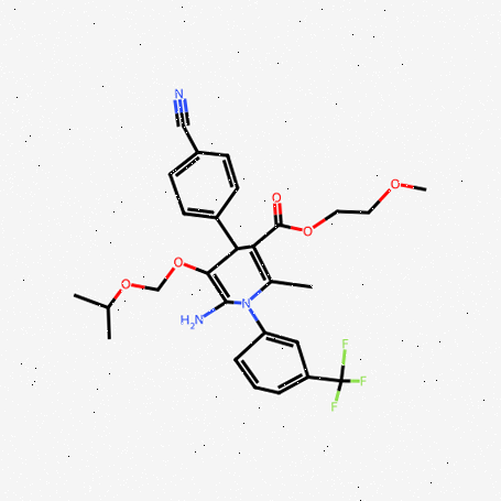 COCCOC(=O)C1=C(C)N(c2cccc(C(F)(F)F)c2)C(N)=C(OCOC(C)C)C1c1ccc(C#N)cc1